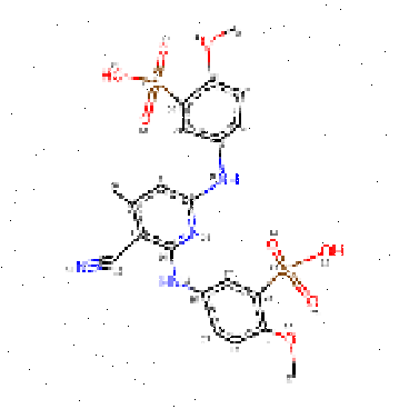 COc1ccc(Nc2cc(C)c(C#N)c(Nc3ccc(OC)c(S(=O)(=O)O)c3)n2)cc1S(=O)(=O)O